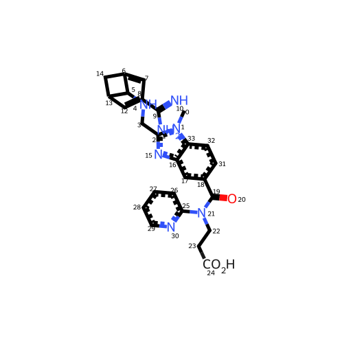 Cn1c(CNC2C3=CC(C(=N)N)=CC2C3)nc2cc(C(=O)N(CCC(=O)O)c3ccccn3)ccc21